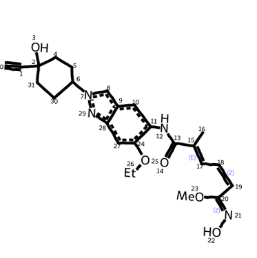 C#CC1(O)CCC(n2cc3cc(NC(=O)/C(C)=C/C=C\C(=N\O)OC)c(OCC)cc3n2)CC1